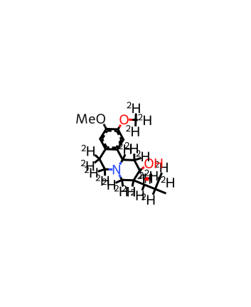 [2H]C([2H])([2H])Oc1cc2c(cc1OC)C([2H])([2H])C([2H])([2H])N1C([2H])([2H])C([2H])(C([2H])([2H])C([2H])(C)C([2H])([2H])[2H])C([2H])(O)C([2H])([2H])C21[2H]